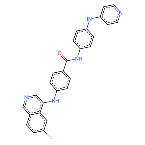 O=C(Nc1ccc(Nc2ccncc2)cc1)c1ccc(Nc2cncc3ccc(F)cc23)cc1